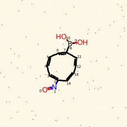 O=Nc1ccccc(B(O)O)cccc1